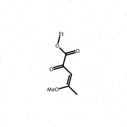 CCOC(=O)C(=O)/C=C(/C)OC